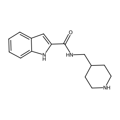 O=C(NCC1CCNCC1)c1cc2ccccc2[nH]1